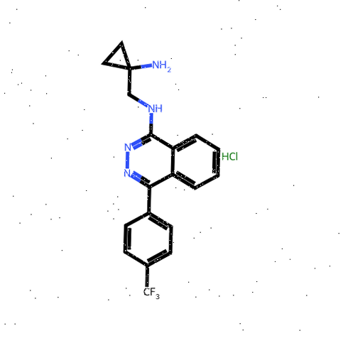 Cl.NC1(CNc2nnc(-c3ccc(C(F)(F)F)cc3)c3ccccc23)CC1